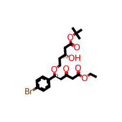 CCOC(=O)CC(=O)C[C@H](OCC[C@@H](O)CC(=O)OC(C)(C)C)c1ccc(Br)cc1